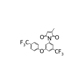 CC1=CC(=O)N(c2cc(Oc3ccc(C(F)(F)F)cc3)cc(C(F)(F)F)c2)C1=O